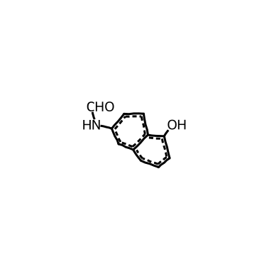 O=CNc1ccc2c(O)cccc2c1